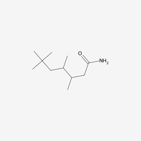 CC(CC(N)=O)C(C)CC(C)(C)C